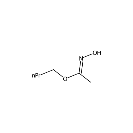 CCCCOC(C)=NO